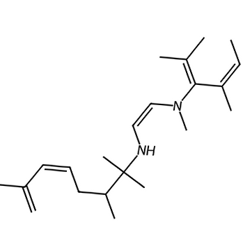 C=C(C)/C=C\CC(C)C(C)(C)N/C=C\N(C)C(=C(C)C)/C(C)=C\C